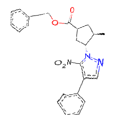 C[C@@H]1CC(C(=O)OCc2ccccc2)C[C@H]1n1ncc(-c2ccccc2)c1[N+](=O)[O-]